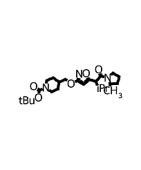 CC(C)C(C(=O)N1CCCC1C)c1cc(OCC2CCN(C(=O)OC(C)(C)C)CC2)no1